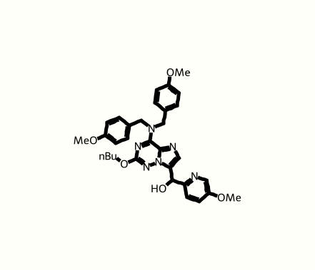 CCCCOc1nc(N(Cc2ccc(OC)cc2)Cc2ccc(OC)cc2)c2ncc(C(O)c3ccc(OC)cn3)n2n1